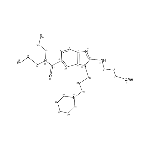 COCCCNc1nc2ccc(C(=O)N(CCC(C)C)CCC(C)C)cc2n1CCCN1CCCCC1